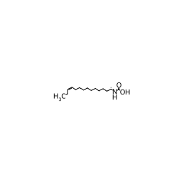 CC/C=C\CCCCCCCCC[CH]NC(=O)O